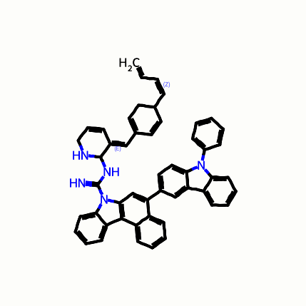 C=C/C=C\C1C=CC(/C=C2\C=CCNC2NC(=N)n2c3ccccc3c3c4ccccc4c(-c4ccc5c(c4)c4ccccc4n5-c4ccccc4)cc32)=CC1